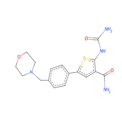 NC(=O)Nc1sc(-c2ccc(CN3CCOCC3)cc2)cc1C(N)=O